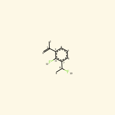 C=C(C)c1cccc(C(C)F)c1F